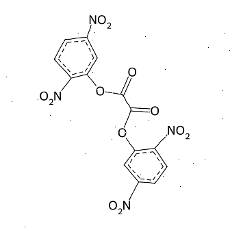 O=C(Oc1cc([N+](=O)[O-])ccc1[N+](=O)[O-])C(=O)Oc1cc([N+](=O)[O-])ccc1[N+](=O)[O-]